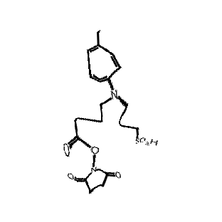 Cc1ccc(N(CCCC(=O)ON2C(=O)CCC2=O)CCCS(=O)(=O)O)cc1